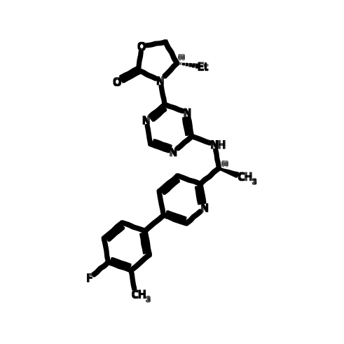 CC[C@H]1COC(=O)N1c1ncnc(N[C@@H](C)c2ccc(-c3ccc(F)c(C)c3)cn2)n1